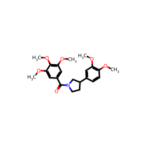 COc1ccc(C2CCN(C(=O)c3cc(OC)c(OC)c(OC)c3)C2)cc1OC